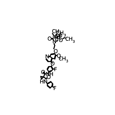 CCNC(=O)N(CCCOc1cc2nccc(Oc3ccc(NC(=O)C4(C(=O)Nc5ccc(F)cc5)CC4)cc3F)c2cc1OC)CP(=O)(OCC)OCC